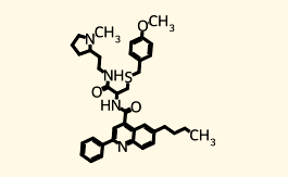 CCCCc1ccc2nc(-c3ccccc3)cc(C(=O)NC(CSCc3ccc(OC)cc3)C(=O)NCCC3CCCN3C)c2c1